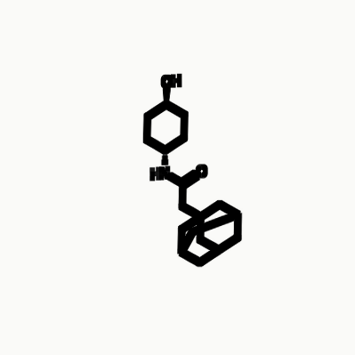 O=C(CC12CC3CC(CC(C3)C1)C2)N[C@H]1CC[C@H](O)CC1